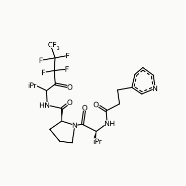 CC(C)C(NC(=O)[C@@H]1CCCN1C(=O)[C@@H](NC(=O)CCc1cccnc1)C(C)C)C(=O)C(F)(F)C(F)(F)C(F)(F)F